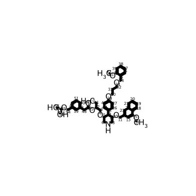 CCC(COC1CNCC(OCc2cc(OC)c3ccccc3c2)C1c1ccc(OCCCOCc2ccccc2OC)cc1)OC(=O)Cc1cccc(CON(O)O)c1